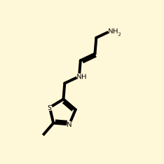 Cc1ncc(CNC=CCN)s1